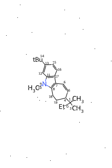 CCC(C)(C)C1C=Cc2c(n(C)c3cc(C(C)(C)C)ccc23)CC1